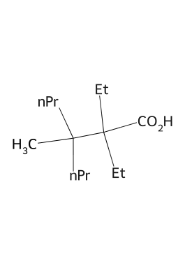 CCCC(C)(CCC)C(CC)(CC)C(=O)O